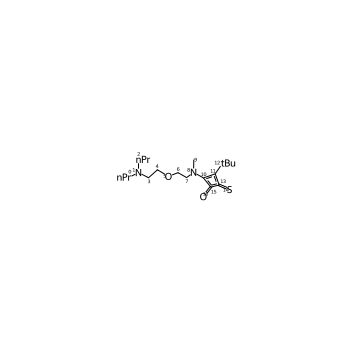 CCCN(CCC)CCOCCN(C)c1c(C(C)(C)C)c(=S)c1=O